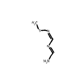 CS/N=C\N=C\N